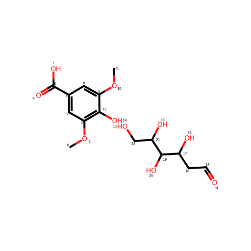 COc1cc(C(=O)O)cc(OC)c1O.O=CCC(O)C(O)C(O)CO